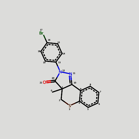 CC12CSc3ccccc3C1=NN(c1ccc(Br)cc1)C2=O